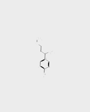 COCCC(C)c1ccc(Br)cc1